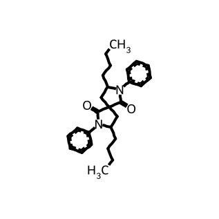 CCCCC1CC2(CC(CCCC)N(c3ccccc3)C2=O)C(=O)N1c1ccccc1